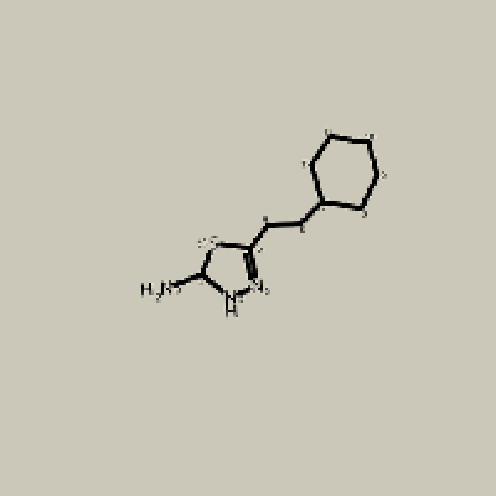 NC1NN=C(CCC2CCCCC2)S1